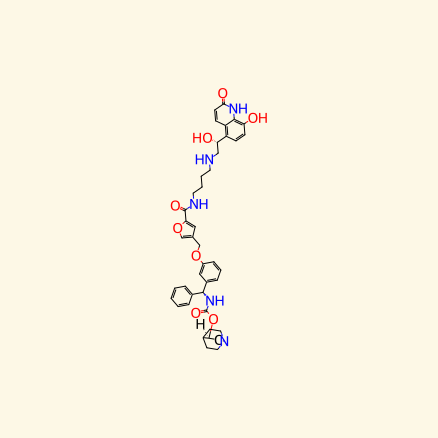 O=C(N[C@@H](c1ccccc1)c1cccc(OCc2coc(C(=O)NCCCCNC[C@H](O)c3ccc(O)c4[nH]c(=O)ccc34)c2)c1)O[C@H]1CN2CCC1CC2